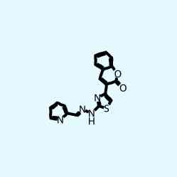 O=c1oc2ccccc2cc1-c1csc(NN=Cc2ccccn2)n1